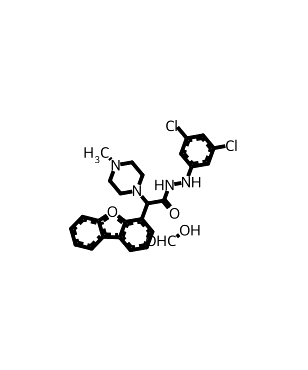 CN1CCN(C(C(=O)NNc2cc(Cl)cc(Cl)c2)c2cccc3c2oc2ccccc23)CC1.O=CO